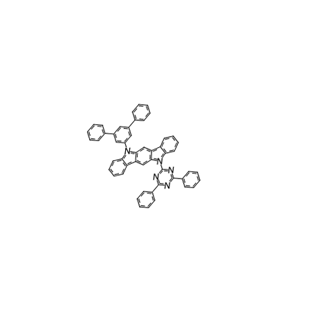 c1ccc(-c2cc(-c3ccccc3)cc(-n3c4ccccc4c4cc5c(cc43)c3ccccc3n5-c3nc(-c4ccccc4)nc(-c4ccccc4)n3)c2)cc1